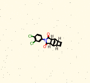 O=C1[C@@H]2C3C=CC([C@H]4C=C[C@@H]34)[C@@H]2C(=O)N1c1ccc(Cl)c(Cl)c1